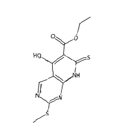 CCOC(=O)c1c(O)c2cnc(SC)nc2[nH]c1=S